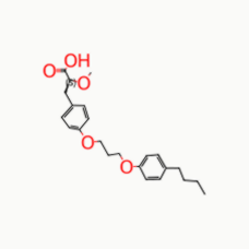 CCCCc1ccc(OCCCOc2ccc(C[C@H](OC)C(=O)O)cc2)cc1